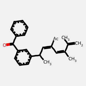 C=C(C)C(C)=CC(=CC(C)c1cccc(C(=O)c2ccccc2)c1)C(C)=O